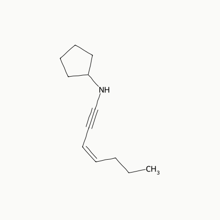 CCC/C=C\C#CNC1CCCC1